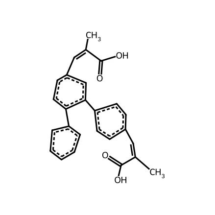 CC(=Cc1ccc(-c2cc(C=C(C)C(=O)O)ccc2-c2ccccc2)cc1)C(=O)O